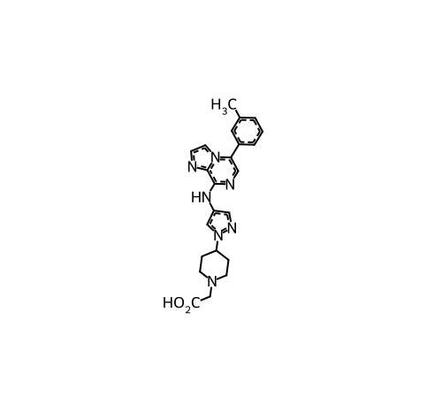 Cc1cccc(-c2cnc(Nc3cnn(C4CCN(CC(=O)O)CC4)c3)c3nccn23)c1